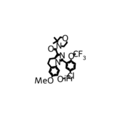 COc1cc2c(cc1OC(C)C)-n1c(-c3cc(Cl)ccc3OC(F)(F)F)nc(C(=O)N3CCOCC3(C)C)c1CC2